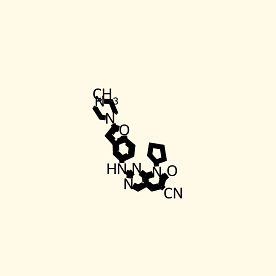 CN1CCN(c2cc3cc(Nc4ncc5cc(C#N)c(=O)n(C6CCCC6)c5n4)ccc3o2)CC1